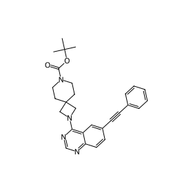 CC(C)(C)OC(=O)N1CCC2(CC1)CN(c1ncnc3ccc(C#Cc4ccccc4)cc13)C2